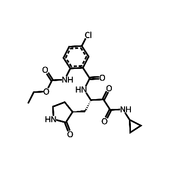 CCOC(=O)Nc1ccc(Cl)cc1C(=O)N[C@@H](C[C@@H]1CCNC1=O)C(=O)C(=O)NC1CC1